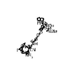 CN[C@@H](C)C(=O)N[C@H](C(=O)N1Cc2cc(OCCOCCOCCC(=O)NCCn3nc4c(c3C#N)-c3cnc(N)c(c3)N3CCC[C@@H]3c3cc(F)ccc3C(=O)N(C3CC3)C4)ccc2C[C@H]1C(=O)N[C@@H]1CCCc2ccccc21)C(C)(C)C